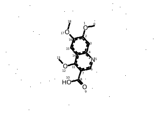 COc1cc2ncc(C(=O)O)c(OC)c2cc1OC